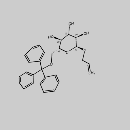 C=CCO[C@H]1O[C@H](COC(c2ccccc2)(c2ccccc2)c2ccccc2)[C@@H](O)[C@H](O)[C@H]1O